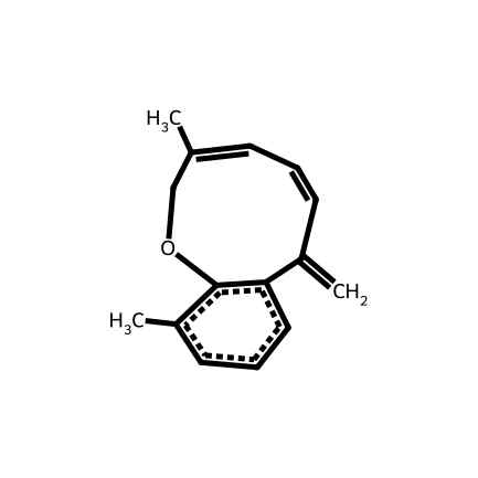 C=C1/C=C\C=C(\C)COc2c(C)cccc21